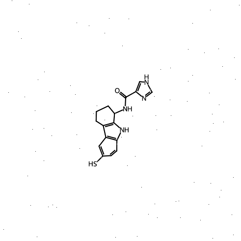 O=C(NC1CCCc2c1[nH]c1ccc(S)cc21)c1c[nH]cn1